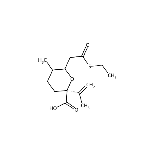 C=C(C)[C@]1(C(=O)O)CCC(C)C(CC(=O)SCC)O1